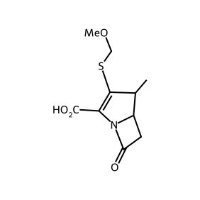 COCSC1=C(C(=O)O)N2C(=O)CC2C1C